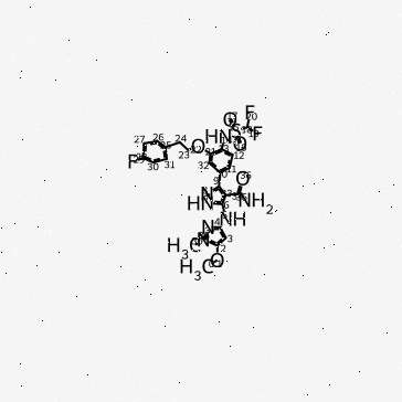 COc1cc(Nc2[nH]nc(-c3ccc(NS(=O)(=O)C(F)F)c(OCCc4ccc(F)cc4)c3)c2C(N)=O)nn1C